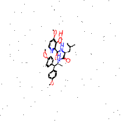 COc1ccc(C(c2ccc(OC)cc2)[C@H](C)NC(=O)[C@H](CC(C)C)NC(=O)c2nccc(OC)c2O)cc1